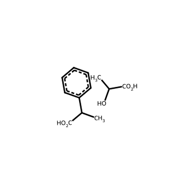 CC(C(=O)O)c1ccccc1.CC(O)C(=O)O